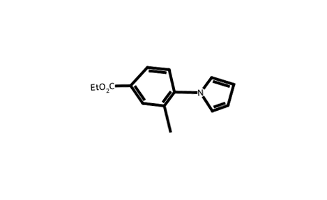 CCOC(=O)c1ccc(-n2cccc2)c(C)c1